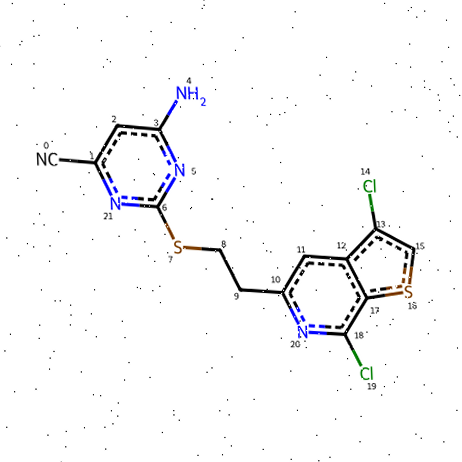 N#Cc1cc(N)nc(SCCc2cc3c(Cl)csc3c(Cl)n2)n1